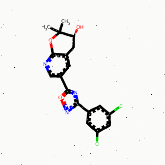 CC1(C)Oc2ncc(-c3nc(-c4cc(Cl)cc(Cl)c4)no3)cc2C[C@@H]1O